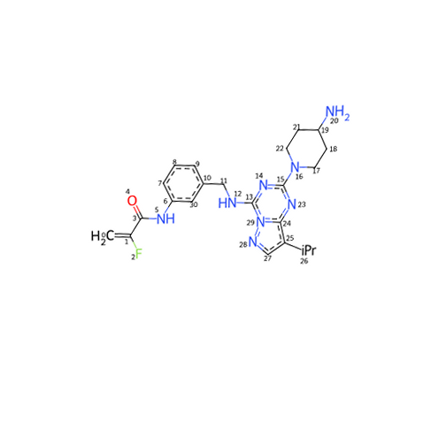 C=C(F)C(=O)Nc1cccc(CNc2nc(N3CCC(N)CC3)nc3c(C(C)C)cnn23)c1